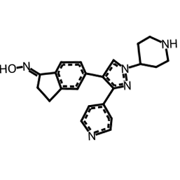 ON=C1CCc2cc(-c3cn(C4CCNCC4)nc3-c3ccncc3)ccc21